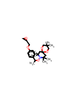 CCCC1(C)COC2(CC(C)(C)N(OC(C)c3ccc(OCC4CO4)cc3)C(C)(C)C2)OC1